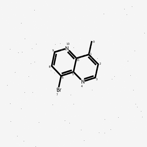 Cc1ccnc2c(Br)ccnc12